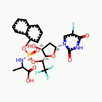 CC(N[P@@](=O)(Oc1cccc2ccccc12)OC([C@H]1O[C@@H](n2cc(F)c(=O)[nH]c2=O)C[C@@H]1O)C(F)(F)F)C(=O)O